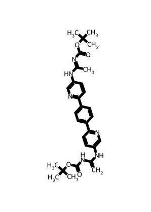 C=C(NC(=O)OC(C)(C)C)Nc1ccc(-c2ccc(-c3ccc(N/C(C)=N/C(=O)OC(C)(C)C)cn3)cc2)nc1